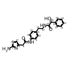 Nc1nc(CC(=O)Nc2ccc(CCNC(=O)[C@H](O)c3ccccc3)cc2)cs1